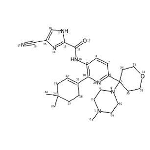 CN1CCN(C2(c3ccc(NC(=O)c4nc(C#N)c[nH]4)c(C4=CCC(C)(C)CC4)n3)CCOCC2)CC1